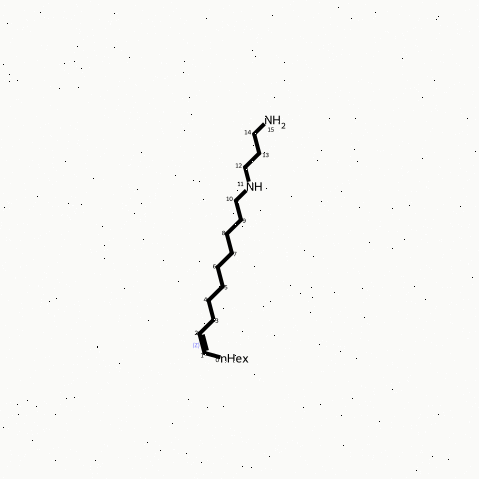 CCCCCC/C=C\CCCCCCCCNCCCN